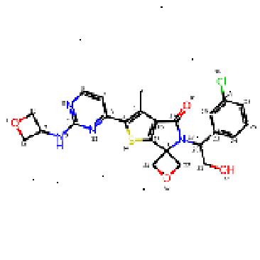 Cc1c(-c2ccnc(NC3COC3)n2)sc2c1C(=O)N(C(CO)c1cccc(Cl)c1)C21COC1